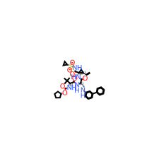 C=C[C@@H]1C[C@]1(NC(=O)[C@H](CNc1cccc(-c2ccccc2)c1)NC(=O)[C@@H](NC(=O)OC1CCCC1)C(C)(C)C)C(=O)NS(=O)(=O)C1CC1